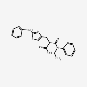 CCN(C(=O)C(Cc1csc(Nc2ccccc2)n1)C(=O)O)c1ccccc1